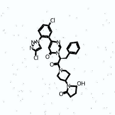 O=C([C@H](Cc1ccccc1)n1cnc(-c2cc(Cl)ccc2-n2cc(Cl)nn2)cc1=O)N1CCC(N2C(=O)CCC2O)CC1